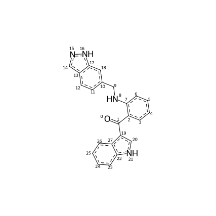 O=C(c1ccccc1NCc1ccc2cn[nH]c2c1)c1c[nH]c2ccccc12